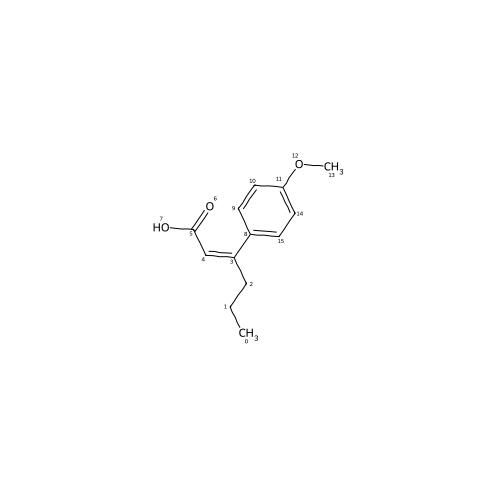 CCC/C(=C/C(=O)O)c1ccc(OC)cc1